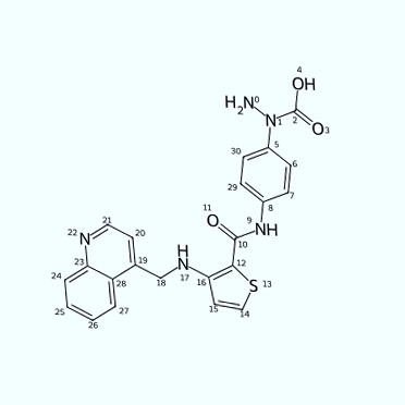 NN(C(=O)O)c1ccc(NC(=O)c2sccc2NCc2ccnc3ccccc23)cc1